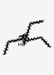 C=C(CCCCCCC/C=C\CCCCCCCC)CC([C@H](C)CO)[C@H](OC(=O)CCCCCCC/C=C\CCCCCCCC)[C@@H](CC(=O)CCCCCCC/C=C\CCCCCCCC)C(C)=O